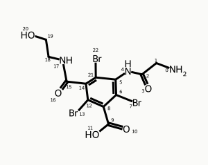 NCC(=O)Nc1c(Br)c(C(=O)O)c(Br)c(C(=O)NCCO)c1Br